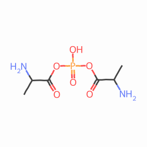 CC(N)C(=O)OP(=O)(O)OC(=O)C(C)N